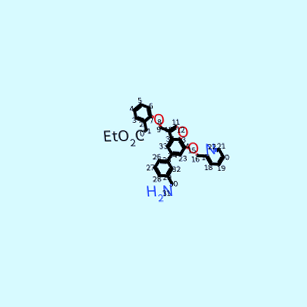 CCOC(=O)Cc1ccccc1OCc1coc2c(OCc3ccccn3)cc(-c3cccc(CN)c3)cc12